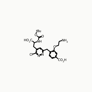 CC(C)(C)OC(=O)NC(Cc1cc(Cc2ccc(C(=O)O)cc2OCCN)nnc1Cl)C(=O)O